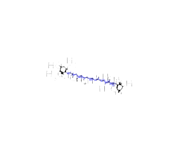 CC1=C(/C=C/C(C)=C/C=C/C(C)=C/C=C/C=C(C)/C=C/C=C(C)/C=C/C2=C(C)C(=O)CCC2(C)C)C(C)(C)CC(O)C1